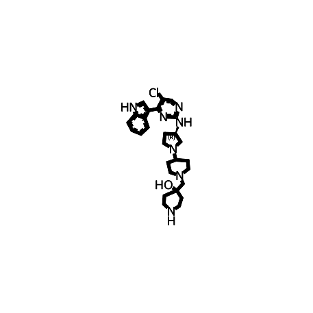 OC1(CN2CCC(N3CC[C@@H](Nc4ncc(Cl)c(-c5c[nH]c6ccccc56)n4)C3)CC2)CCNCC1